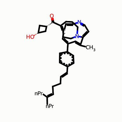 CCCC(=CCC/C=C/c1ccc(C2=C/C/C=C/N=C\C=C(N3CC/C=C(\C(=O)[C@H]4C[C@@H](O)C4)CCC3)\C(C)=C\2)cc1)CCC